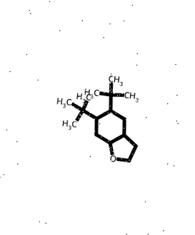 CC(C)(C)C1CC2CCOC2CC1C(C)(C)C